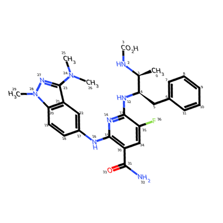 C[C@H](NC(=O)O)[C@@H](Cc1ccccc1)Nc1nc(Nc2ccc3c(c2)c(N(C)C)nn3C)c(C(N)=O)cc1F